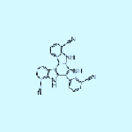 N#Cc1cccc2c1[nH]c1c3[nH]c4c(C#N)cccc4c3c3c4cccc(C#N)c4[nH]c3c21